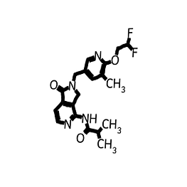 Cc1cc(CN2Cc3c(ccnc3NC(=O)C(C)C)C2=O)cnc1OCC(F)F